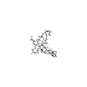 COC(=O)C12CN(Cc3ccccc3)CC1c1cc(OC)ccc1-c1c(C3CCCCC3)c3ccc(C(=O)NS(=O)(=O)N(C)C)cc3n1C2